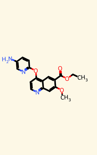 CCOC(=O)c1cc2c(Oc3ccc(N)cn3)ccnc2cc1OC